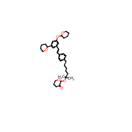 CC(C)(CCCCCc1ccc(C=Cc2cc(OC3CCCCO3)cc(C3CCCCO3)c2)cc1)OC1OCCCC1=O